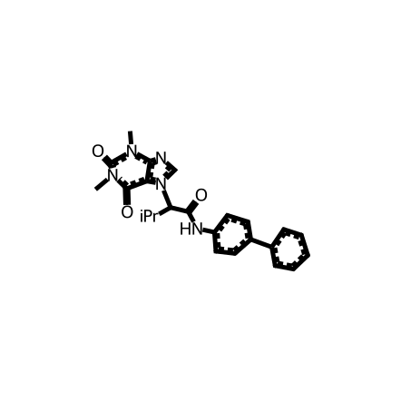 CC(C)C(C(=O)Nc1ccc(-c2ccccc2)cc1)n1cnc2c1c(=O)n(C)c(=O)n2C